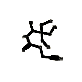 C#CCOC(=O)NC(CC)[Si](OCC)(OCC)OCC